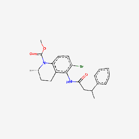 COC(=O)N1c2ccc(Br)c(NC(=O)CC(C)c3ccccc3)c2CC[C@@H]1C